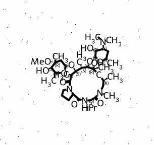 CO[C@]1(C)C[C@H](O[C@H]2[C@H](C)[C@@H](O[C@@H]3O[C@H](C)C[C@H](N(C)C)[C@H]3O)[C@](C)(O)C[C@@H](C)CN(C)C(=O)[C@H](C(C)C)NC(=O)C3CCCN3C(=O)[C@@H]2C)O[C@@H](C)[C@@H]1O